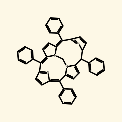 C1=C/C2=C(\c3ccccc3)c3ccc4n3Cn3/c(cc/c3=C(\c3ccccc3)C3=NC(C=C3)C4c3ccccc3)=C(/c3ccccc3)C1=N2